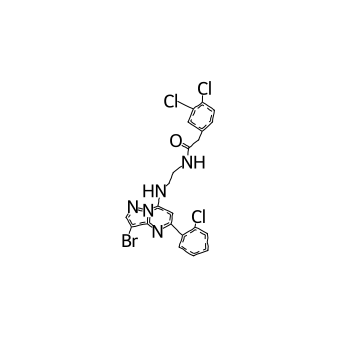 O=C(Cc1ccc(Cl)c(Cl)c1)NCCNc1cc(-c2ccccc2Cl)nc2c(Br)cnn12